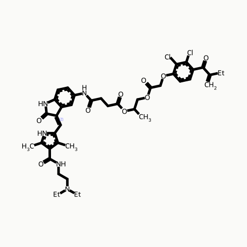 C=C(CC)C(=O)c1ccc(OCC(=O)OCC(C)OC(=O)CCC(=O)Nc2ccc3c(c2)/C(=C/c2[nH]c(C)c(C(=O)NCCN(CC)CC)c2C)C(=O)N3)c(Cl)c1Cl